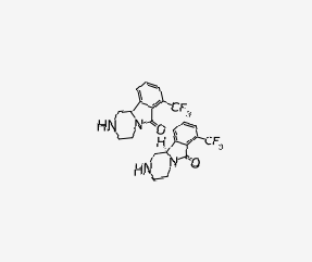 O=C1c2c(cccc2C(F)(F)F)C2CNCCN12.O=C1c2c(cccc2C(F)(F)F)[C@@H]2CNCCN12